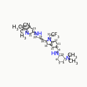 CN(C)C1CCCC(NCc2ccc3c(c2)cc(C#CCNc2ccc(C(C)(C)C#N)nc2)n3CC(F)(F)F)C1